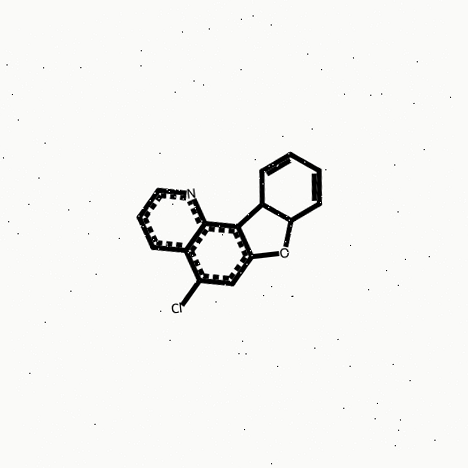 Clc1cc2c(c3ncccc13)C1C=CC=CC1O2